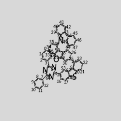 c1ccc(-c2nc(-c3ccccc3)nc(-c3ccc4sc5cccc(-c6ccc7c(c6)oc6cccc(-n8c9ccccc9c9ccccc98)c67)c5c4c3)n2)cc1